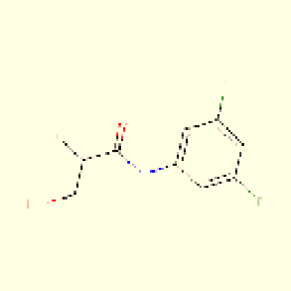 CCC(CO)C(=O)Nc1cc(F)cc(F)c1